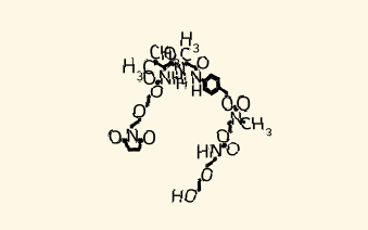 CC(NC(=O)C(NC(=O)OCCOCCN1C(=O)C=CC1=O)C(C)C)C(=O)Nc1ccc(COC(=O)N(C)CCOC(=O)NCCOCCO)cc1